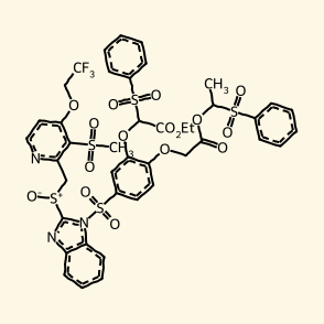 CCOC(=O)C(Oc1cc(S(=O)(=O)n2c([S+]([O-])Cc3nccc(OCC(F)(F)F)c3S(C)(=O)=O)nc3ccccc32)ccc1OCC(=O)OC(C)S(=O)(=O)c1ccccc1)S(=O)(=O)c1ccccc1